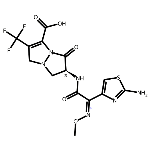 CO/N=C(\C(=O)N[C@H]1CN2CC(C(F)(F)F)=C(C(=O)O)N2C1=O)c1csc(N)n1